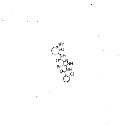 CCCN1CCCCC(NC(=O)c2n[nH]c(NC(=O)c3ccccc3Cl)c2Br)C1=O